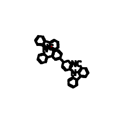 N#Cc1ccc(C2C=CC(n3c4ccccc4c4cccc(C#N)c43)=CC2)cc1-c1ccccc1-n1c2ccccc2c2ccccc21